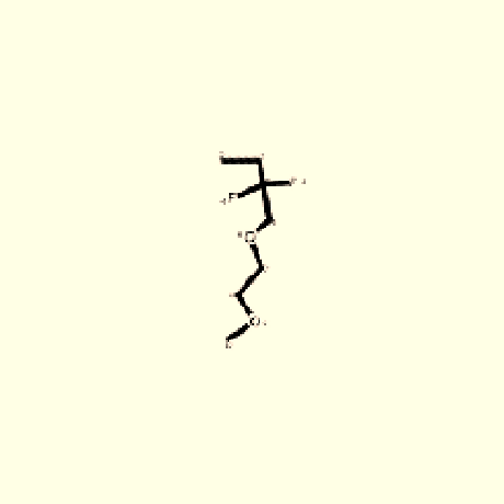 CCC(F)(F)COCCOC